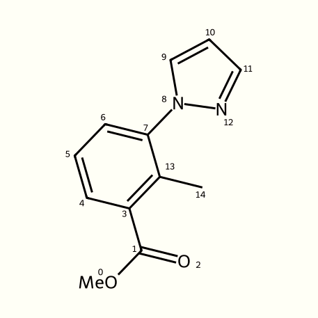 COC(=O)c1cccc(-n2cccn2)c1C